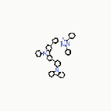 c1ccc(-c2nc(-c3ccccc3)nc(-c3cccc(-c4ccc5c(c4)c4cc(-c6cccc(-n7c8ccccc8c8ccccc87)c6)ccc4n5-c4ccccc4)c3)n2)cc1